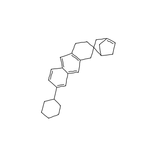 C1=C2CC(C1)C1(CCc3cc4ccc(C5CCCCC5)cc4cc3C1)C2